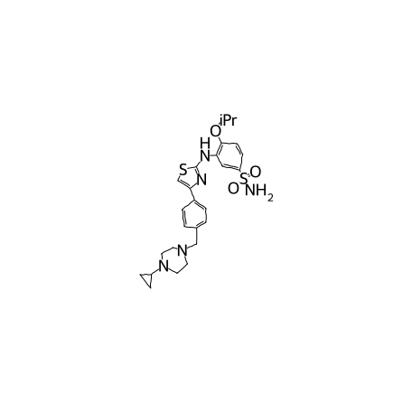 CC(C)Oc1ccc(S(N)(=O)=O)cc1Nc1nc(-c2ccc(CN3CCN(C4CC4)CC3)cc2)cs1